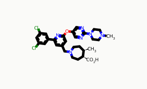 C[C@H]1CCN(Cc2cc(Oc3cnc(N4CCN(C)CC4)nc3)nc(-c3cc(Cl)cc(Cl)c3)c2)CC[C@H]1C(=O)O